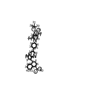 COC(=O)c1ccc(-c2cnn3cc(-c4ccc(N5C[C@@H]6C[C@H]5CN6C(=O)OC(C)(C)C)cc4)cnc23)c2ccccc12